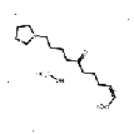 CCCCCCCC/C=C\CCCC(=O)CCCCN1CCCC1.O=C(O)O